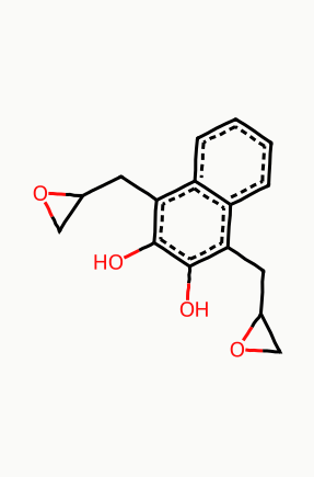 Oc1c(O)c(CC2CO2)c2ccccc2c1CC1CO1